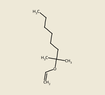 C=COC(C)(C)CCCCCC